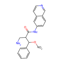 NCC(C(=O)Nc1ccc2cnccc2c1)C(O[N+](=O)[O-])c1ccccc1